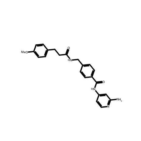 COc1ccc(CCC(=O)NCc2ccc(C(=O)Nc3ccnc(N)c3)cc2)cc1